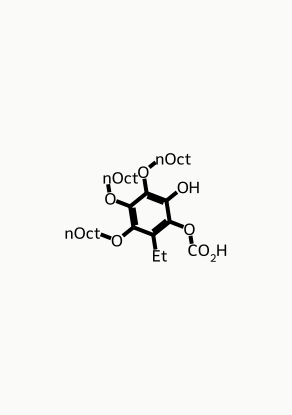 CCCCCCCCOc1c(O)c(OC(=O)O)c(CC)c(OCCCCCCCC)c1OCCCCCCCC